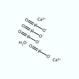 O.[Ca+2].[Ca+2].[O]=[Al][O-].[O]=[Al][O-].[O]=[Al][O-].[O]=[Al][O-]